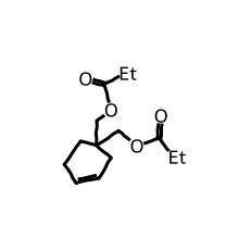 CCC(=O)OCC1(COC(=O)CC)CC=CCC1